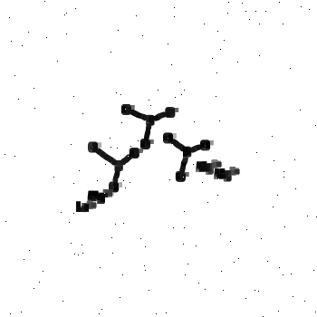 [La+3].[Mg+2].[Mg+2].[Mg+2].[O-]B([O-])[O-].[O-]B([O-])[O-].[O-]B([O-])[O-]